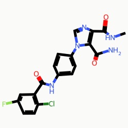 CNC(=O)c1ncn(-c2ccc(NC(=O)c3cc(F)ccc3Cl)cc2)c1C(N)=O